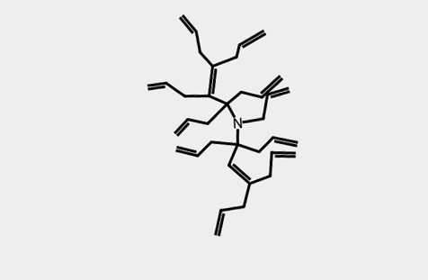 C=CCC(=CC(CC=C)(CC=C)N(CC=C)C(CC=C)(CC=C)C(CC=C)=C(CC=C)CC=C)CC=C